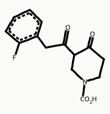 O=C1CCN(C(=O)O)CC1C(=O)Cc1ccccc1F